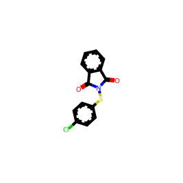 O=C1c2ccccc2C(=O)N1Sc1ccc(Cl)cc1